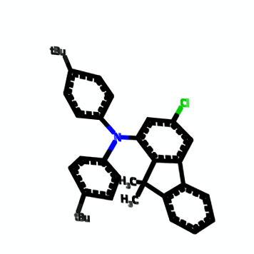 CC(C)(C)c1ccc(N(c2ccc(C(C)(C)C)cc2)c2cc(Cl)cc3c2C(C)(C)c2ccccc2-3)cc1